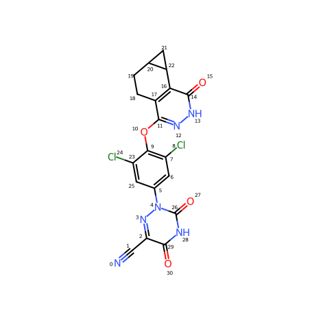 N#Cc1nn(-c2cc(Cl)c(Oc3n[nH]c(=O)c4c3CCC3CC43)c(Cl)c2)c(=O)[nH]c1=O